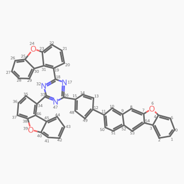 c1ccc2c(c1)oc1cc3cc(-c4ccc(-c5nc(-c6cccc7oc8ccccc8c67)nc(-c6cccc7oc8ccccc8c67)n5)cc4)ccc3cc12